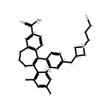 Cc1cc(C)c(C2=C(c3ccc(CC4CN(CCCF)C4)cc3)c3ccc(C(=O)O)cc3CCC2)c(Cl)c1